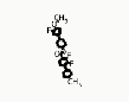 CCOc1ccc(C2CCC(OC(=O)c3ccc(C4CCC(C)CC4)c(F)c3F)CC2)cc1F